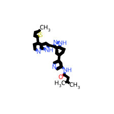 Cc1ccc(-c2ccnc3[nH]c(-c4n[nH]c5ccc(-c6cncc(NC(=O)CC(C)C)c6)cc45)cc23)s1